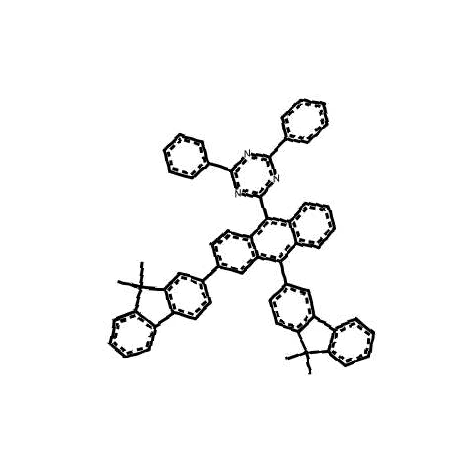 CC1(C)c2ccccc2-c2cc(-c3c4ccccc4c(-c4nc(-c5ccccc5)nc(-c5ccccc5)n4)c4ccc(-c5ccc6c(c5)C(C)(C)c5ccccc5-6)cc34)ccc21